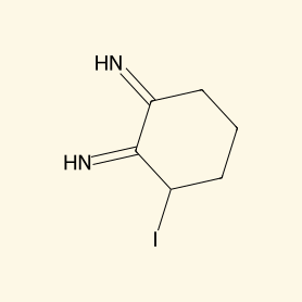 N=C1CCCC(I)C1=N